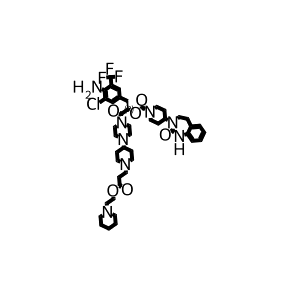 Nc1c(Cl)cc(C[C@@H](OC(=O)N2CCC(N3CCc4ccccc4NC3=O)CC2)C(=O)N2CCN(C3CCN(CCC(=O)OCCN4CCCCC4)CC3)CC2)cc1C(F)(F)F